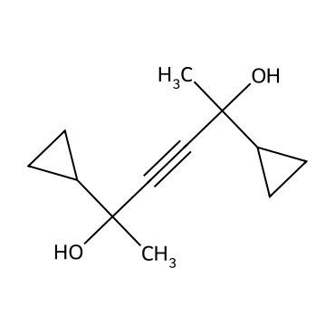 CC(O)(C#CC(C)(O)C1CC1)C1CC1